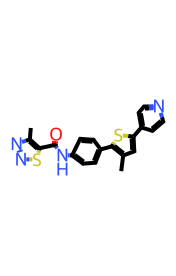 Cc1cc(-c2ccncc2)sc1-c1ccc(NC(=O)c2snnc2C)cc1